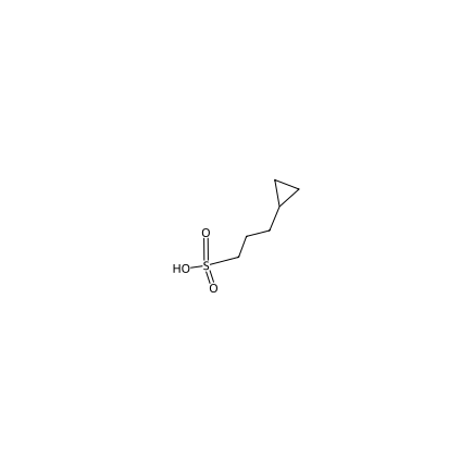 O=S(=O)(O)CCCC1CC1